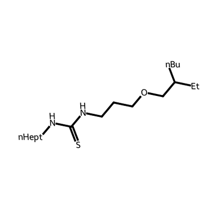 CCCCCCCNC(=S)NCCCOCC(CC)CCCC